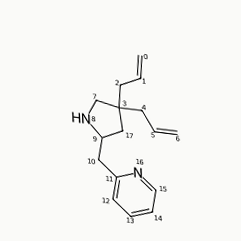 C=CCC1(CC=C)CNC(Cc2ccccn2)C1